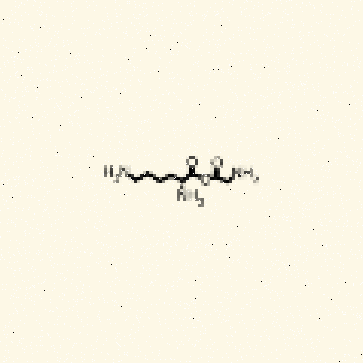 NCCCC[C@H](N)C(=O)OC(=O)CN